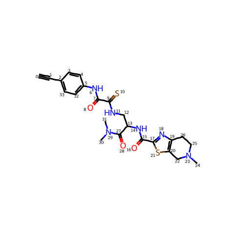 C#Cc1ccc(NC(=O)C(=S)NCC(NC(=O)c2nc3c(s2)CN(C)CC3)C(=O)N(C)C)cc1